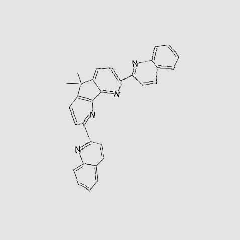 CC1(C)c2ccc(-c3ccc4ccccc4n3)nc2-c2nc(-c3ccc4ccccc4n3)ccc21